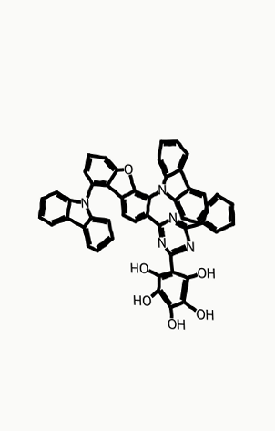 Oc1c(O)c(O)c(-c2nc(-c3ccccc3)nc(-c3ccc4c(oc5cccc(-n6c7ccccc7c7ccccc76)c54)c3-n3c4ccccc4c4ccccc43)n2)c(O)c1O